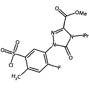 COC(=O)c1nn(-c2cc(S(=O)(=O)Cl)c(C)cc2F)c(=O)n1C(C)C